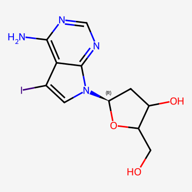 Nc1ncnc2c1c(I)cn2[C@H]1CC(O)C(CO)O1